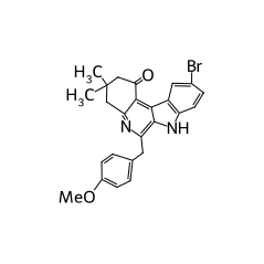 COc1ccc(Cc2nc3c(c4c2[nH]c2ccc(Br)cc24)C(=O)CC(C)(C)C3)cc1